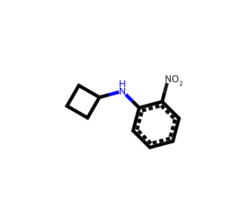 O=[N+]([O-])c1ccccc1NC1CCC1